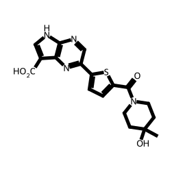 CC1(O)CCN(C(=O)c2ccc(-c3cnc4[nH]cc(C(=O)O)c4n3)s2)CC1